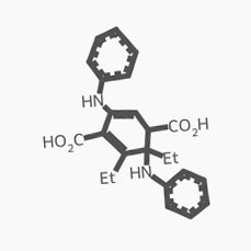 CCC1=C(C(=O)O)C(Nc2ccccc2)=CC(C(=O)O)C1(CC)Nc1ccccc1